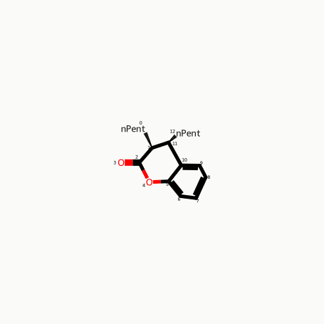 CCCCC[C@@H]1C(=O)Oc2ccccc2[C@@H]1CCCCC